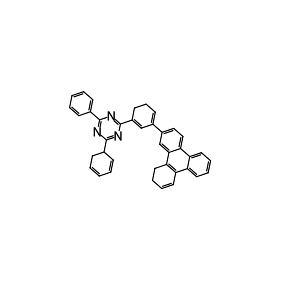 C1=CCC(c2nc(C3=CC(c4ccc5c(c4)c4c(c6ccccc65)C=CCC4)=CCC3)nc(-c3ccccc3)n2)C=C1